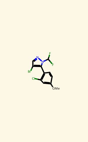 COc1ccc(-c2c(Br)cnn2C(F)F)c(Cl)c1